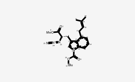 COC(=O)[C@H](Cc1cn(C(=O)OC(C)(C)C)c2cccc(CC=C(C)C)c12)N=[N+]=[N-]